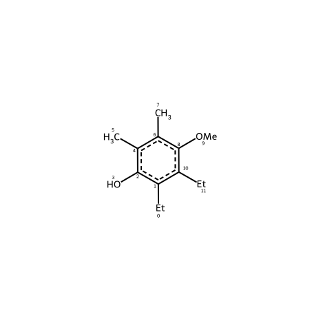 CCc1c(O)c(C)c(C)c(OC)c1CC